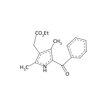 CCOC(=O)Cc1c(C)[nH]c(C(=O)c2ccccc2)c1C